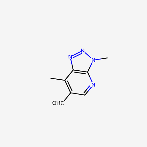 Cc1c(C=O)cnc2c1nnn2C